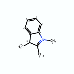 CC1=[N+](C)c2ccccc2C1C